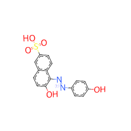 O=S(=O)(O)c1ccc2c(/N=N/c3ccc(O)cc3)c(O)ccc2c1